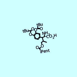 CCCC(C)C(=O)OCC(C)C(c1ccc(OC(=O)C(C)(C)C)c(OC(=O)C(C)(C)C)c1)[C@H](N)C(=O)O